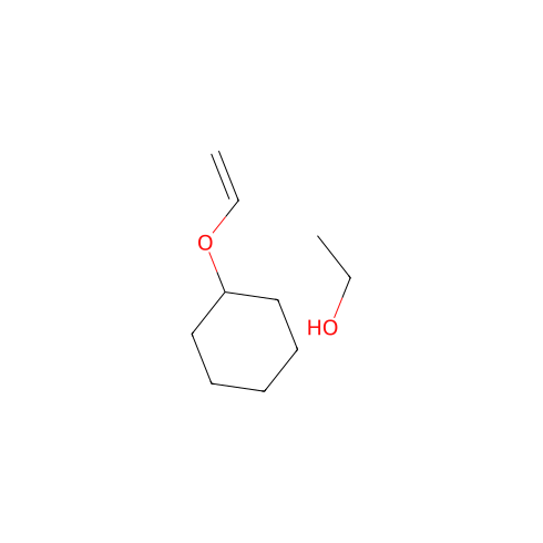 C=COC1CCCCC1.CCO